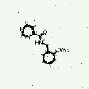 COc1ccccc1CNC(=O)c1ccncn1